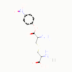 CNC(CSCC(N)C(=O)Oc1ccc([N+](=O)[O-])cc1)C(=O)O